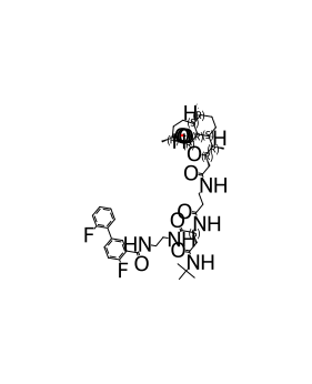 C[C@H]1[C@@H](CC(=O)NCCC(=O)N[C@@H](CC(=O)NC(C)(C)C)C(=O)NCCNC(=O)c2cc(-c3ccccc3F)ccc2F)O[C@@H]2O[C@@]3(C)CC[C@H]4[C@H](C)CC[C@@H]1[C@@]24OO3